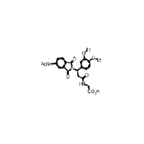 CCOc1ccc(C(CC(=O)NCC(=O)O)N2C(=O)c3ccc(NC(C)=O)cc3C2=O)cc1OCC